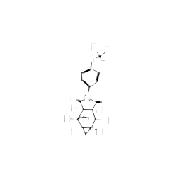 O=C1[C@@H]2[C@@H]3CC[C@@H]([C@@H]4C[C@@H]43)[C@@H]2C(=O)N1c1ccc(SC(F)(F)F)cc1